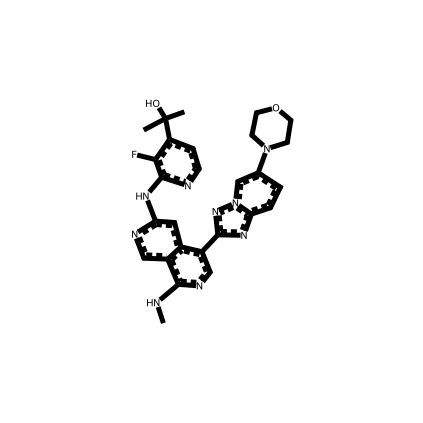 CNc1ncc(-c2nc3ccc(N4CCOCC4)cn3n2)c2cc(Nc3nccc(C(C)(C)O)c3F)ncc12